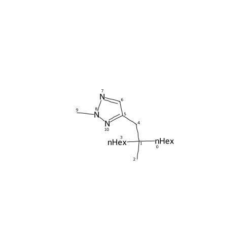 CCCCCCC(C)(CCCCCC)Cc1cnn(C)n1